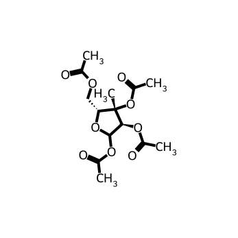 CC(=O)OC[C@H]1OC(OC(C)=O)[C@H](OC(C)=O)[C@@]1(C)OC(C)=O